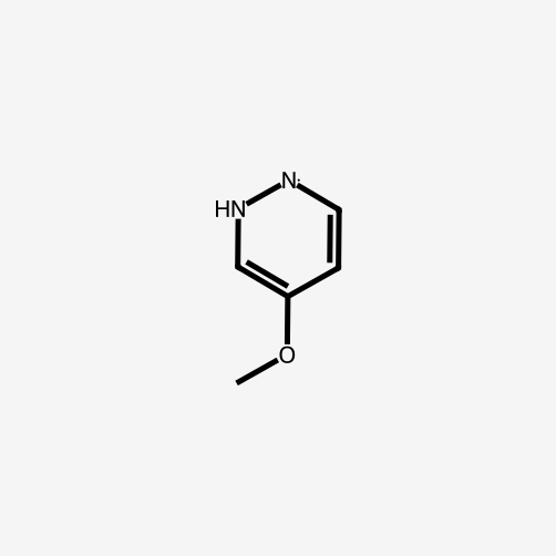 COC1=CN[N]C=C1